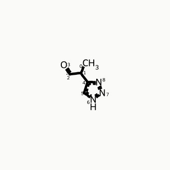 CC([C]=O)c1c[nH]nn1